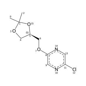 CC1(C)OC[C@H](COc2cnc(Cl)cn2)O1